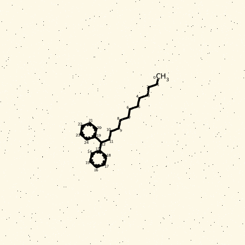 CCCCCCCCCCCCC(c1ccccc1)c1ccccc1